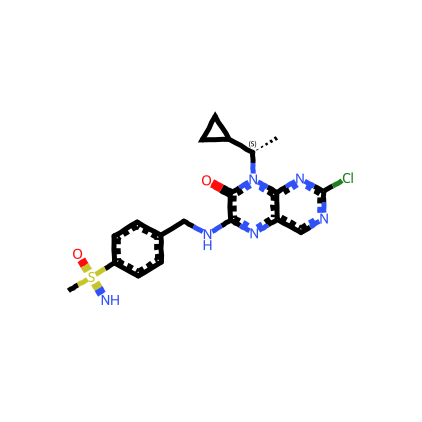 C[C@@H](C1CC1)n1c(=O)c(NCc2ccc(S(C)(=N)=O)cc2)nc2cnc(Cl)nc21